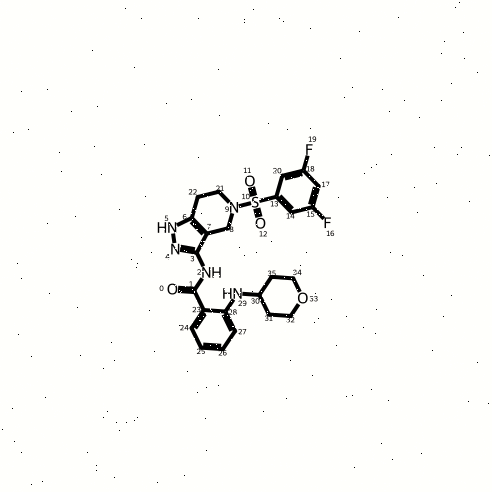 O=C(Nc1n[nH]c2c1CN(S(=O)(=O)c1cc(F)cc(F)c1)CC2)c1ccccc1NC1CCOCC1